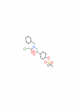 CS(=O)(=O)Oc1ccc(C(O)CN(Cc2ccccc2)C(=O)CCl)cc1